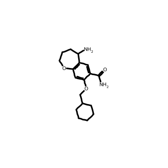 NC(=O)c1cc2c(cc1OCC1CCCCC1)OCCCC2N